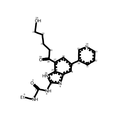 CCNC(=O)Nc1nc2cc(-c3cccnc3)cc(C(=O)CCCCO)c2[nH]1